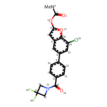 CNC(=O)Oc1cc2cc(-c3ccc(C(=O)N4CC(F)(F)C4)cc3)cc(Cl)c2o1